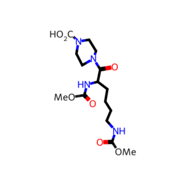 COC(=O)NCCCCC(NC(=O)OC)C(=O)N1CCN(C(=O)O)CC1